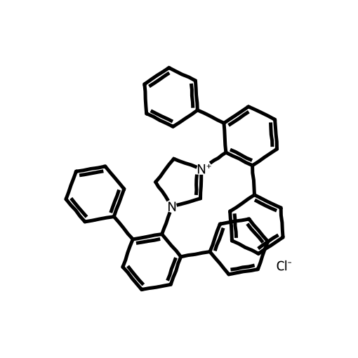 C1=[N+](c2c(-c3ccccc3)cccc2-c2ccccc2)CCN1c1c(-c2ccccc2)cccc1-c1ccccc1.[Cl-]